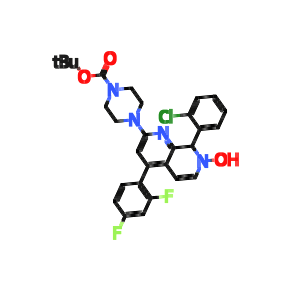 CC(C)(C)OC(=O)N1CCN(c2cc(-c3ccc(F)cc3F)c3c(n2)C(c2ccccc2Cl)N(O)C=C3)CC1